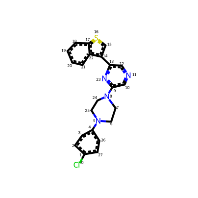 Clc1ccc(N2CCN(c3cncc(-c4csc5ccccc45)n3)CC2)cc1